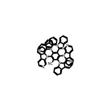 N#Cc1c(-n2c3ccccc3c3ccncc32)c(-n2c3ccccc3c3ccncc32)c(-c2nc3ccccc3n2-c2ccccc2)c(-n2c3ccccc3c3ccncc32)c1-n1c2ccccc2c2ccncc21